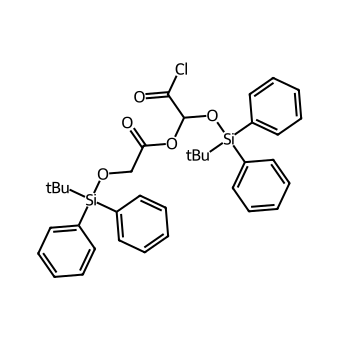 CC(C)(C)[Si](OCC(=O)OC(O[Si](c1ccccc1)(c1ccccc1)C(C)(C)C)C(=O)Cl)(c1ccccc1)c1ccccc1